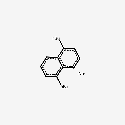 CCCCc1cccc2c(CCCC)cccc12.[Na]